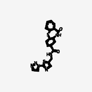 O=C(NCc1cnc(-n2ccnn2)s1)c1ccc2c(c1)NC(=O)c1ccccc1S2